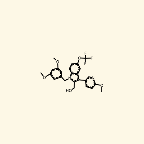 COc1cc(Cn2c(CO)c(-c3ccc(OC)nc3)c3cc(OC(F)(F)F)ccc32)cc(OC)c1